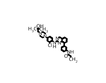 C=CC(=O)Nc1cccc(-c2cccc3cnc(Nc4ccc(N5CCN(CC(C)(C)O)CC5)cc4Cl)nc23)c1